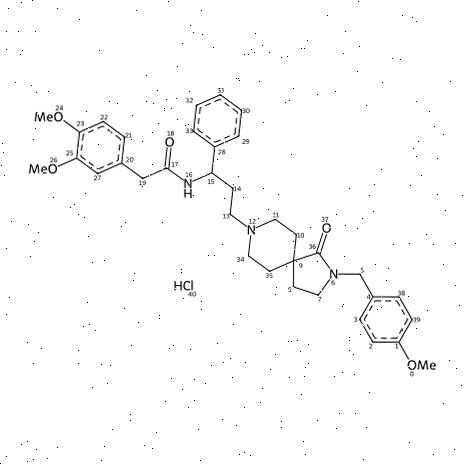 COc1ccc(CN2CCC3(CCN(CCC(NC(=O)Cc4ccc(OC)c(OC)c4)c4ccccc4)CC3)C2=O)cc1.Cl